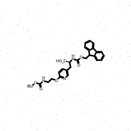 CC(C)(C)OC(=O)NCCOc1ccc(C[C@H](NC(=O)OCC2c3ccccc3-c3ccccc32)C(=O)O)cn1